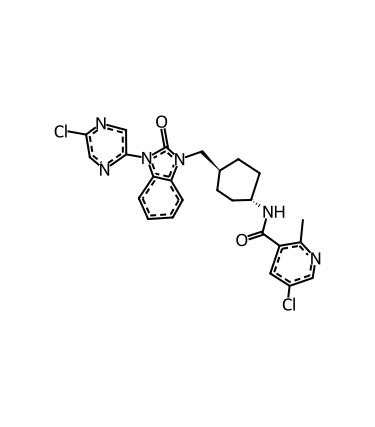 Cc1ncc(Cl)cc1C(=O)N[C@H]1CC[C@H](Cn2c(=O)n(-c3cnc(Cl)cn3)c3ccccc32)CC1